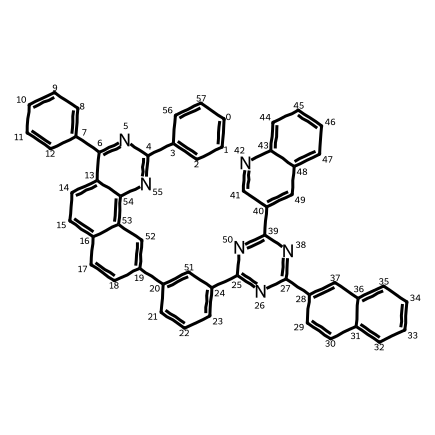 c1ccc(-c2nc(-c3ccccc3)c3ccc4ccc(-c5cccc(-c6nc(-c7ccc8ccccc8c7)nc(-c7cnc8ccccc8c7)n6)c5)cc4c3n2)cc1